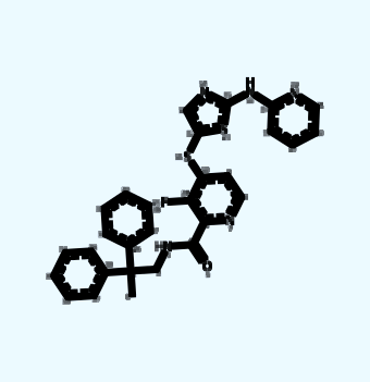 CC(CNC(=O)c1nccc(Sc2cnc(Nc3ccccn3)s2)c1F)(c1ccccc1)c1ccccc1